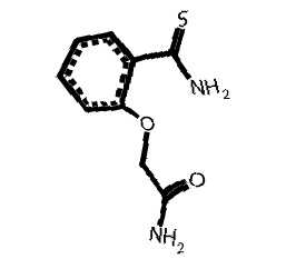 NC(=O)COc1ccccc1C(N)=S